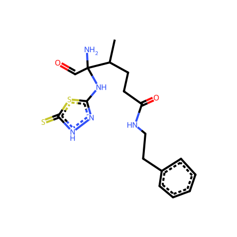 CC(CCC(=O)NCCc1ccccc1)C(N)(C=O)Nc1n[nH]c(=S)s1